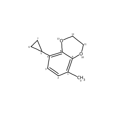 Cc1ccc(C2CC2)c2c1OCCO2